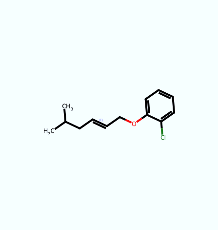 CC(C)C/C=C/COc1ccccc1Cl